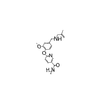 C=C(C)CNCc1ccc(Oc2ccc(C(N)=O)cn2)c(OC)c1